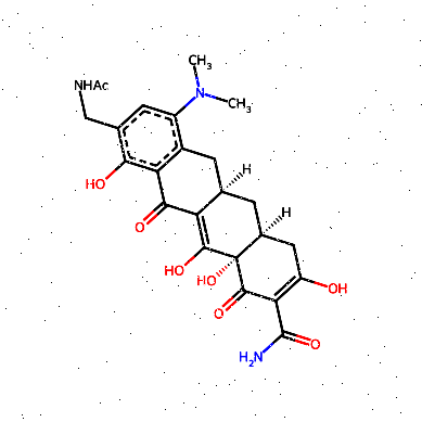 CC(=O)NCc1cc(N(C)C)c2c(c1O)C(=O)C1=C(O)[C@]3(O)C(=O)C(C(N)=O)=C(O)C[C@@H]3C[C@@H]1C2